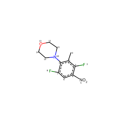 Cc1c(F)c([N+](=O)[O-])cc(F)c1N1CCOCC1